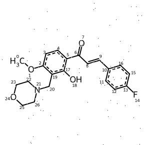 COc1ccc(C(=O)/C=C/c2ccc(F)cc2)c(O)c1CN1CCOCC1